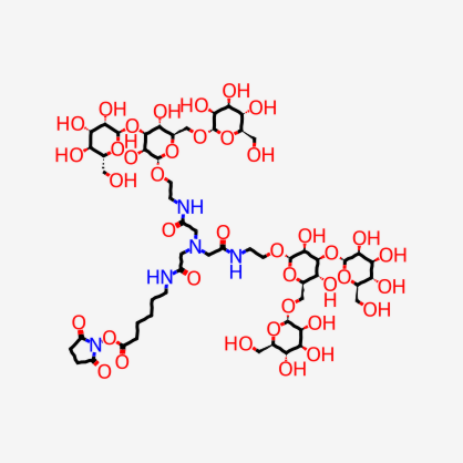 O=C(CN(CC(=O)NCCO[C@H]1O[C@H](CO[C@H]2O[C@H](CO)[C@@H](O)[C@H](O)[C@@H]2O)[C@@H](O)[C@H](O[C@H]2O[C@H](CO)[C@@H](O)[C@H](O)[C@@H]2O)[C@@H]1O)CC(=O)NCCO[C@H]1O[C@H](CO[C@H]2O[C@H](CO)[C@@H](O)[C@H](O)[C@@H]2O)[C@@H](O)[C@H](O[C@H]2O[C@H](CO)[C@@H](O)[C@H](O)[C@@H]2O)[C@@H]1O)NCCCCCC(=O)ON1C(=O)CCC1=O